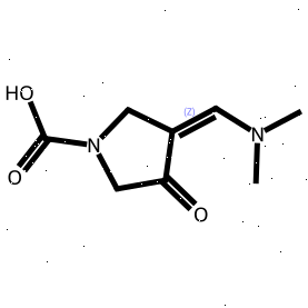 CN(C)/C=C1/CN(C(=O)O)CC1=O